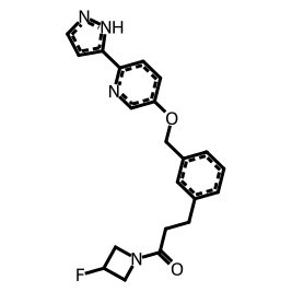 O=C(CCc1cccc(COc2ccc(-c3ccn[nH]3)nc2)c1)N1CC(F)C1